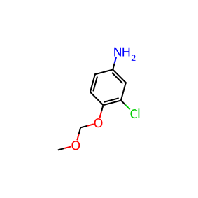 COCOc1ccc(N)cc1Cl